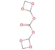 O=C(OC1OCO1)OC1OCO1